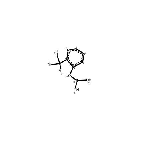 [2H]C([2H])([2H])c1ncccc1OB(O)O